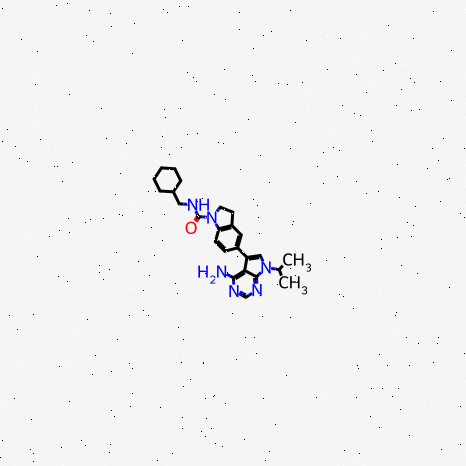 CC(C)n1cc(-c2ccc3c(c2)CCN3C(=O)NCC2CCCCC2)c2c(N)ncnc21